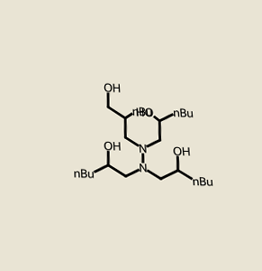 CCCCC(O)CN(CC(O)CCCC)N(CC(O)CCCC)CC(CO)CCCC